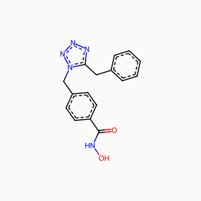 O=C(NO)c1ccc(Cn2nnnc2Cc2ccccc2)cc1